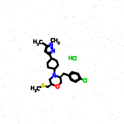 CSC[C@H]1CN(C2CCC(c3cc(C)n(C)n3)CC2)[C@@H](Cc2ccc(Cl)cc2)CO1.Cl